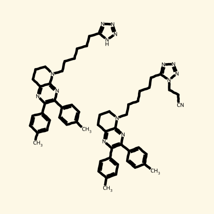 Cc1ccc(-c2nc3c(nc2-c2ccc(C)cc2)N(CCCCCCc2nnn[nH]2)CCC3)cc1.Cc1ccc(-c2nc3c(nc2-c2ccc(C)cc2)N(CCCCCCc2nnnn2CCC#N)CCC3)cc1